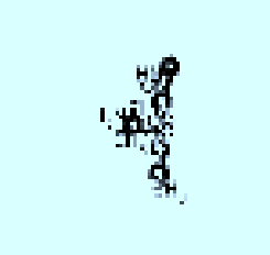 CCc1cc(C[C@@H](OC(=O)N2CCC(N3Cc4ccccc4NC3=O)CC2)C(=O)N2CCN(C3CCN(C)CC3)CC2)cc(Cl)c1N